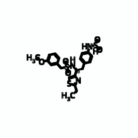 CCc1nc([C@H](Cc2ccc(N[SH](=O)=O)cc2)NS(=O)(=O)Cc2cccc(OC)c2)cs1